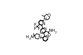 CC1COCCN1c1ccc(C(F)(F)F)c(-c2cnc(-c3ncccc3N3CCC(C)(N)CC3)c(C(N)=O)n2)n1